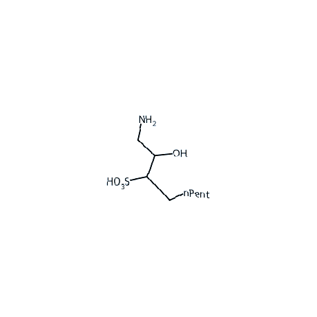 CCCCCCC(C(O)CN)S(=O)(=O)O